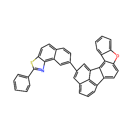 c1ccc(-c2nc3c(ccc4ccc(-c5cc6c7c(cccc7c5)-c5ccc7oc8ccccc8c7c5-6)cc43)s2)cc1